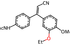 CCOc1cc(/C(=C\C#N)c2ccc(NC(C)=O)cc2)ccc1OC